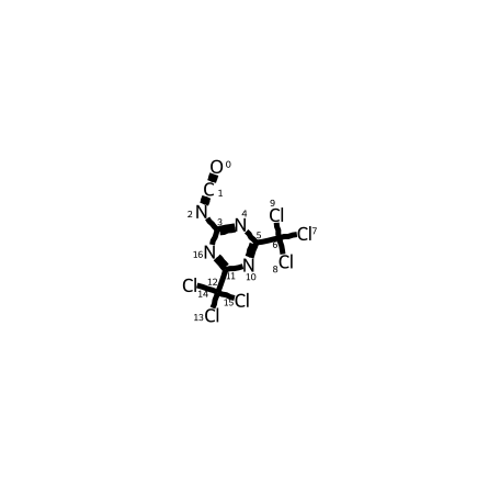 O=C=Nc1nc(C(Cl)(Cl)Cl)nc(C(Cl)(Cl)Cl)n1